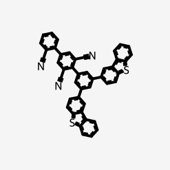 N#Cc1ccccc1-c1cc(C#N)c(-c2cc(-c3ccc4sc5ccccc5c4c3)cc(-c3ccc4sc5ccccc5c4c3)c2)c(C#N)c1